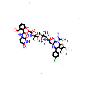 CC(=N)N1C(=N)[C@H](CC(=O)NCC(C)(C)OCC(C)(C)NC(=O)COc2cccc(C=O)c2C(=O)NC2CCC(=O)NC2=O)N=C(c2ccc(Cl)cc2)c2c1sc(C)c2C